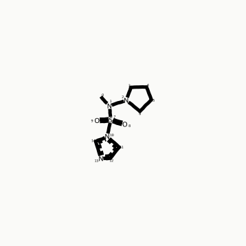 CN(N1CCCC1)S(=O)(=O)n1ccnc1